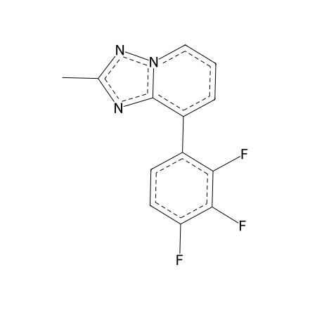 Cc1nc2c(-c3ccc(F)c(F)c3F)cccn2n1